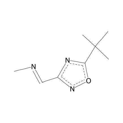 C/N=C/c1noc(C(C)(C)C)n1